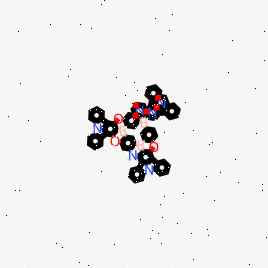 CN1c2cc3c(cc2B2c4ccccc4Oc4c2c1c1c2ccccc2n2c5ccccc5c4c12)B1c2cc4c(cc2Oc2c1c(c1c5ccccc5n5c6ccccc6c2c15)O3)N(C)c1c2c(c3c5ccccc5n5c6ccccc6c1c35)N(c1ccccc1)c1ccccc1B42